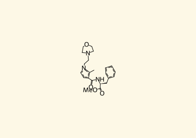 COC(=O)[C@H](Cc1ccccc1)NC(=O)c1ccn(CCN2CCOCC2)c1C